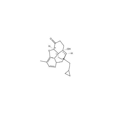 CC1=C2O[C@H]3C(=O)CC[C@@]4(O)[C@H]5CC(C=C1)C2[C@@]34CCN5CC1CC1